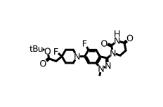 Cn1nc(N2CCC(=O)NC2=O)c2cc(F)c(N3CCC(F)(CC(=O)OC(C)(C)C)CC3)cc21